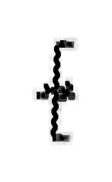 CCCCCCCCCCCCCCCCCCN(CCCCCCCCCCCCCCCCCC)C(C)O.COS(=O)(=O)O